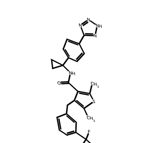 Cc1sc(C)c(C(=O)NC2(c3ccc(-c4nn[nH]n4)cc3)CC2)c1Cc1cccc(C(F)(F)F)c1